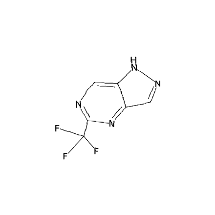 FC(F)(F)c1ncc2[nH]ncc2n1